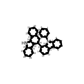 c1ccc(-n2c3ccccc3c3cccc(-c4cc5ccccc5c5[nH]c6ccccc6c45)c32)cc1